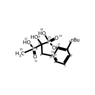 CCCCc1ccc[n+](CC(O)(P(C)(=O)O)P(=O)(O)O)c1